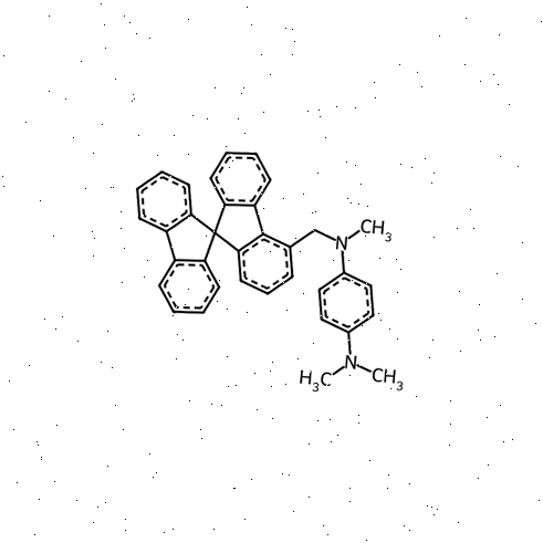 CN(C)c1ccc(N(C)Cc2cccc3c2-c2ccccc2C32c3ccccc3-c3ccccc32)cc1